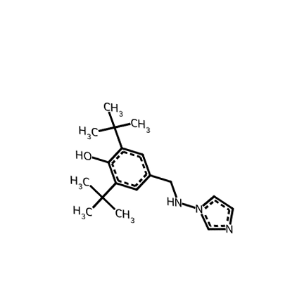 CC(C)(C)c1cc(CNn2ccnc2)cc(C(C)(C)C)c1O